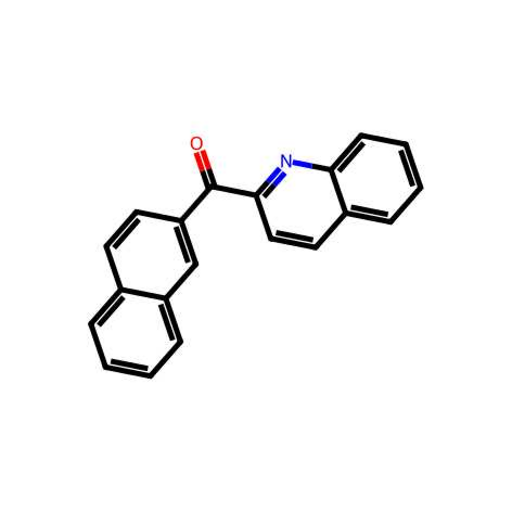 O=C(c1ccc2ccccc2c1)c1ccc2ccccc2n1